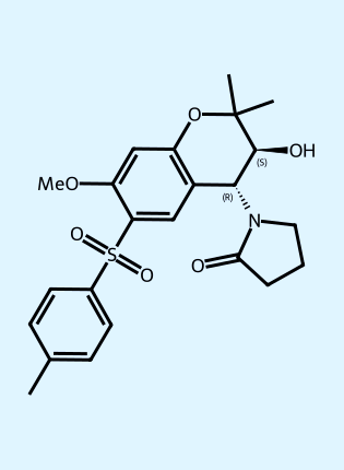 COc1cc2c(cc1S(=O)(=O)c1ccc(C)cc1)[C@@H](N1CCCC1=O)[C@H](O)C(C)(C)O2